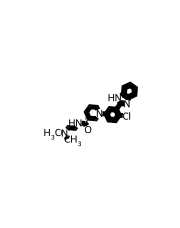 CN(C)CCNC(=O)[C@@H]1CCCN(c2ccc(Cl)c(-c3nc4ccccc4[nH]3)c2)C1